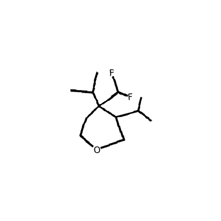 CC(C)C1COCCC1(C(C)C)C(F)F